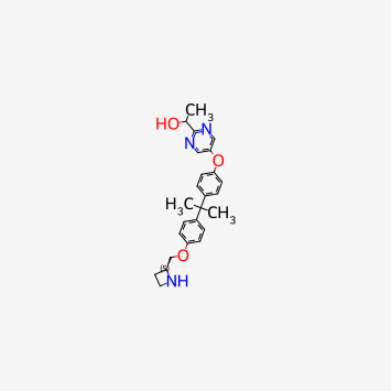 CC(O)c1ncc(Oc2ccc(C(C)(C)c3ccc(OC[C@@H]4CCN4)cc3)cc2)cn1